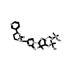 CC(C)(C)[Si](C)(C)OC[C@H]1O[C@@H](n2ccc(NP3(=O)OCCC(c4cccnc4)O3)nc2=O)C(F)(F)C1O[Si](C)(C)C(C)(C)C